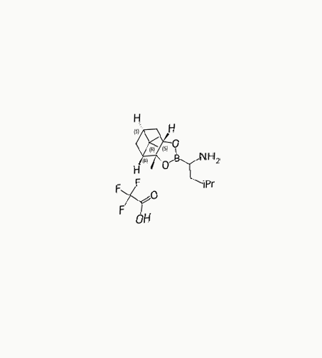 CC(C)CC(N)B1O[C@H]2C[C@@H]3C[C@H](C3(C)C)[C@@]2(C)O1.O=C(O)C(F)(F)F